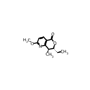 CC[C@H]1OC(=O)c2ccc(OC)nc2[C@@H]1C